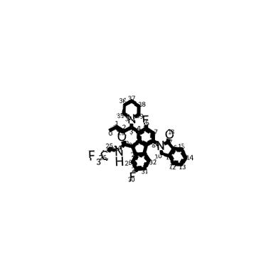 C/C=C/C(c1c(F)cc(N2Cc3ccccc3C2=O)c2c1C(C(=O)NCC(F)(F)F)c1cc(F)ccc1-2)N1CCCCC1